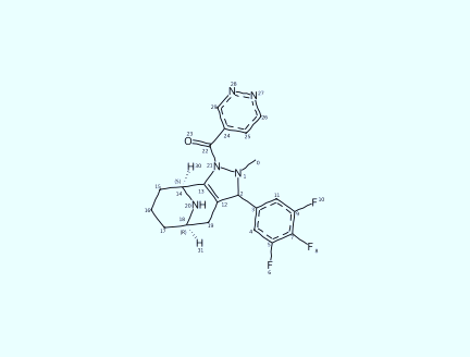 CN1C(c2cc(F)c(F)c(F)c2)C2=C([C@@H]3CCC[C@H](C2)N3)N1C(=O)c1ccnnc1